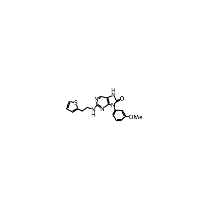 COc1cccc(-n2c(=O)[nH]c3cnc(NCCc4cccs4)nc32)c1